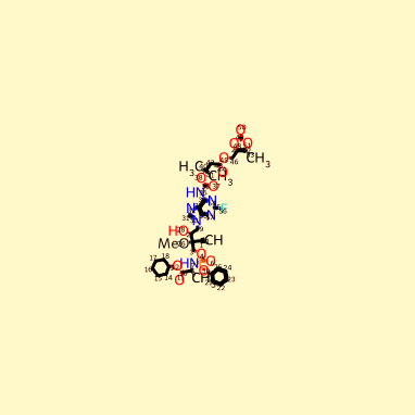 C#CC(COP(=O)(N[C@@H](C)C(=O)OC1CCCCC1)Oc1ccccc1)(OC)[C@@H](O)Cn1cnc2c(NC(=O)OC(C)(C)CC(=O)OCc3oc(=O)oc3C)nc(F)nc21